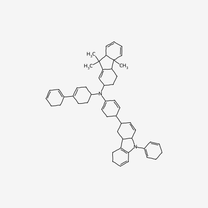 CC1(C)C2=CC(N(C3=CCC(C4C=CC5C(C4)C4=C(C=CCC4)N5C4=CCCC=C4)C=C3)C3CC=C(C4=CC=CCC4)CC3)CCC2C2(C)C=CC=CC12